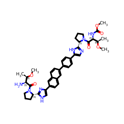 COC(=O)N[C@H](C(=O)N1CCC[C@H]1c1ncc(-c2ccc(-c3ccc4cc(-c5c[nH]c([C@@H]6CCCN6C(=O)[C@@H](N)[C@@H](C)OC)n5)ccc4c3)cc2)[nH]1)[C@@H](C)OC